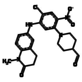 CN1C(=O)CCc2cc(Nc3cc(N4CCC(C=O)CC4)c([N+](=O)[O-])cc3Cl)ccc21